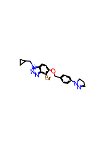 Brc1c(OCc2ccc(N3CCC=N3)cc2)ccc2c1nnn2CC1CC1